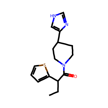 CCC(C(=O)N1CCC(c2c[nH]cn2)CC1)c1cccs1